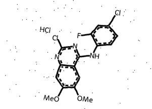 COc1cc2nc(Cl)nc(Nc3ccc(Cl)cc3F)c2cc1OC.Cl